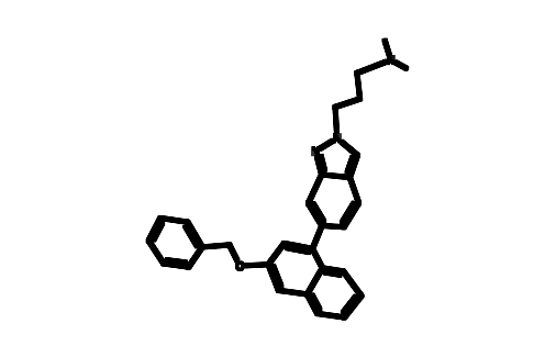 CN(C)CCCn1cc2ccc(-c3cc(OCc4ccccc4)cc4ccccc34)cc2n1